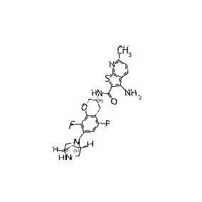 Cc1ccc2c(N)c(C(=O)N[C@H]3COc4c(F)c(N5C[C@@H]6C[C@H]5CN6)cc(F)c4C3)sc2n1